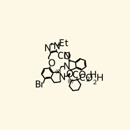 CCn1cnc(COc2ccc(Br)c3c2[C@@H](CN2Cc4ccccc4C2=O)N(C(=O)[C@@H]2CCCCC2(C(=O)O)C(=O)O)CC3)c1C#N